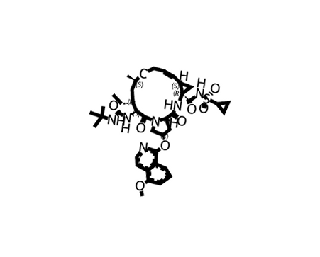 CC[C@@H]1C[C@@H](C)CCC=C[C@@H]2C[C@@]2(C(=O)NS(=O)(=O)C2CC2)NC(=O)[C@@H]2C[C@@H](Oc3nccc4c(OC)cccc34)CN2C(=O)[C@H]1NC(=O)NC(C)(C)C